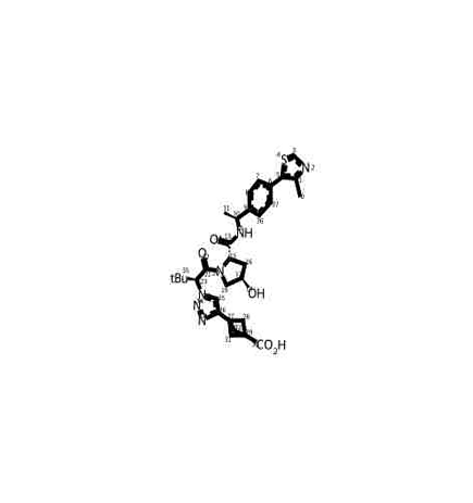 Cc1ncsc1-c1ccc([C@H](C)NC(=O)[C@@H]2C[C@@H](O)CN2C(=O)[C@@H](n2cc(C34CC(C(=O)O)(C3)C4)nn2)C(C)(C)C)cc1